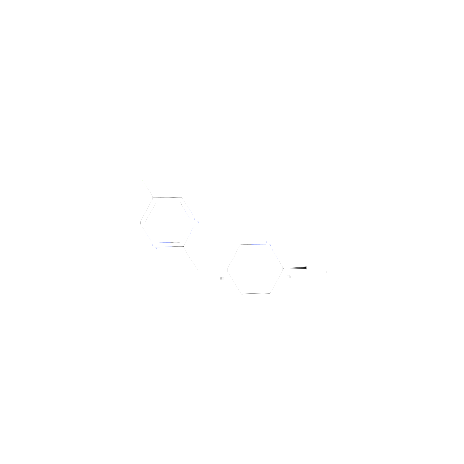 C[C@H]1CC[C@H](Cc2ncc(F)cn2)CN1